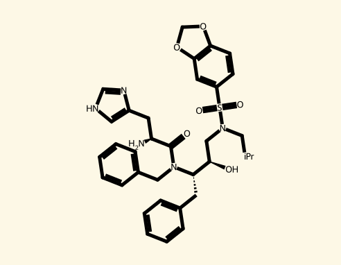 CC(C)CN(C[C@@H](O)[C@H](Cc1ccccc1)N(Cc1ccccc1)C(=O)[C@@H](N)Cc1c[nH]cn1)S(=O)(=O)c1ccc2c(c1)OCO2